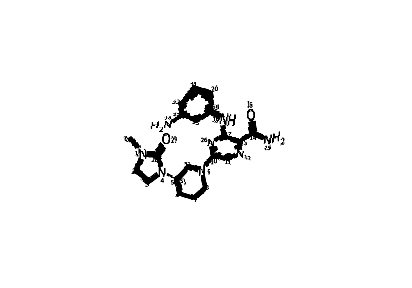 CN1CCN([C@H]2CCCN(c3cnc(C(N)=O)c(Nc4cccc(N)c4)n3)C2)C1=O